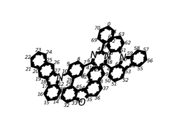 c1ccc(-c2nc(-c3ccc(-n4c5ccccc5c5cc6ccccc6cc54)c(-c4cccc5oc6ccc7ccccc7c6c45)c3)nc(-c3cccc4c5ccccc5n(-c5ccccc5)c34)n2)cc1